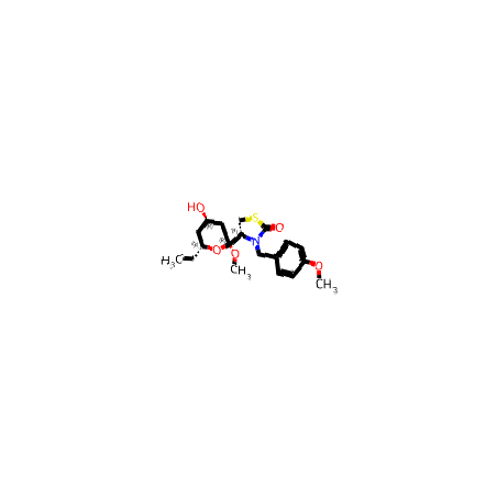 CC[C@@H]1C[C@@H](O)C[C@](OC)([C@@H]2CSC(=O)N2Cc2ccc(OC)cc2)O1